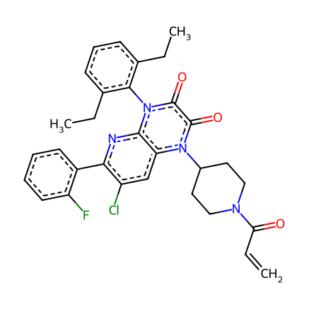 C=CC(=O)N1CCC(n2c(=O)c(=O)n(-c3c(CC)cccc3CC)c3nc(-c4ccccc4F)c(Cl)cc32)CC1